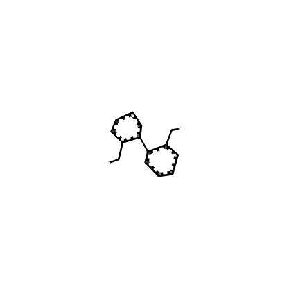 NCc1ccc[c]c1-c1ccccc1CN